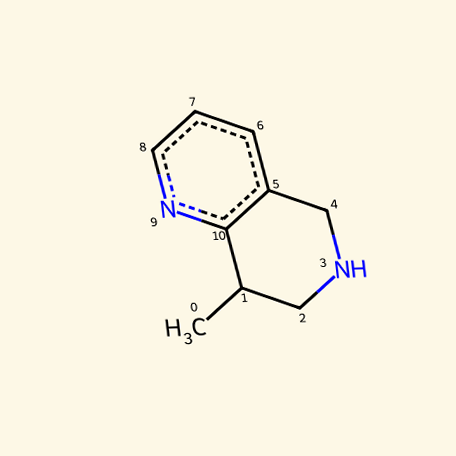 CC1CNCc2cccnc21